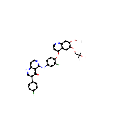 COc1cc2nccc(Oc3ccc(Nc4nccc5[nH]cc(-c6ccc(F)cc6)c(=O)c45)cc3F)c2cc1OCC(C)(C)O